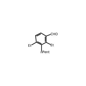 CCCCCc1c(CC)ccc(C=O)c1CC